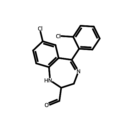 O=CC1CN=C(c2ccccc2Cl)c2cc(Cl)ccc2N1